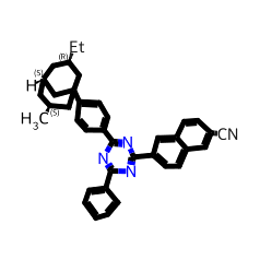 CC[C@@H]1C[C@@H]2C[C@H](C)CC(c3ccc(-c4nc(-c5ccccc5)nc(-c5ccc6cc(C#N)ccc6c5)n4)cc3)(C1)C2